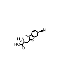 Cn1c(CC(N)C(=O)O)nc2cc(C#N)ccc21